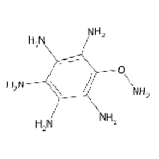 NOc1c(N)c(N)c(N)c(N)c1N